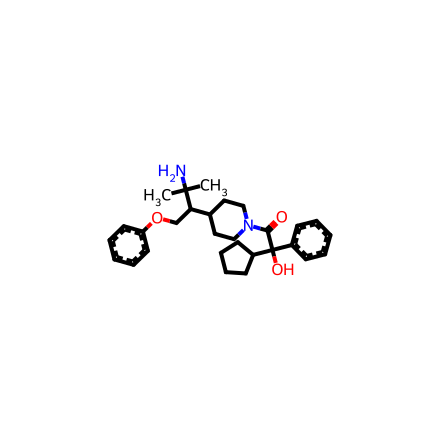 CC(C)(N)C(COc1ccccc1)C1CCN(C(=O)C(O)(c2ccccc2)C2CCCC2)CC1